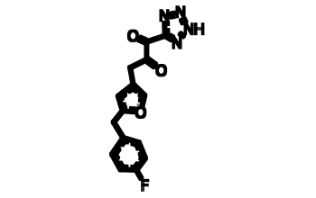 O=C(Cc1coc(Cc2ccc(F)cc2)c1)C(=O)c1nn[nH]n1